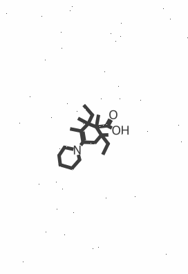 CCC1(C)CC(N2CCCCC2)=C(C)C(C)(CC)C1(C)C(=O)O